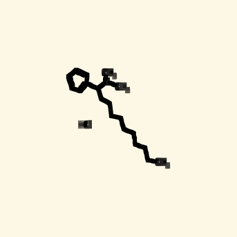 CCCCCCCCCCC(c1ccccc1)N(C)C.Cl